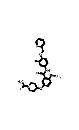 CNc1ccc(OC2CCN(C(C)=O)CC2)cc1C(=N)Nc1ccc(OCc2ccccn2)c(Cl)c1